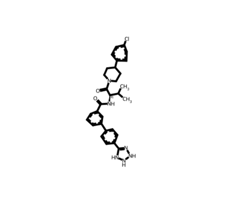 CC(C)[C@@H](NC(=O)c1cccc(-c2ccc(C3=NNNN3)cc2)c1)C(=O)N1CCC(c2ccc(Cl)cc2)CC1